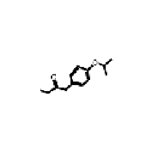 CCC(=O)Cc1ccc(OC(C)C)cc1